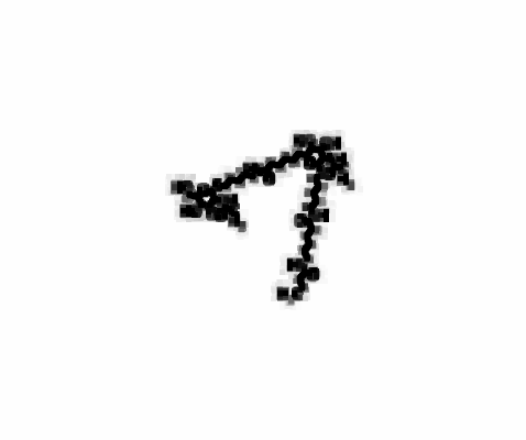 CCCC(=O)NCCCCCC(=O)NCCCCCS[C@@H]1OC(CCCCCC(=O)NCCCCCS[C@@H]2OC(CO)[C@H](O)[C@@H](O)C2NC(C)=O)[C@H](O)[C@@H](O)C1NC(C)=O